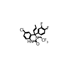 CC=CC1(c2ccc(F)c(F)c2)c2cc(Cl)ccc2NC(=O)N1CC(F)(F)F